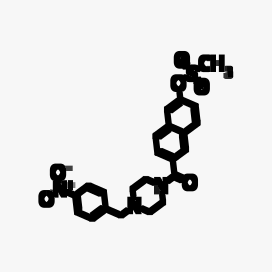 CS(=O)(=O)Oc1ccc2cc(C(=O)N3CCN(Cc4ccc([N+](=O)[O-])cc4)CC3)ccc2c1